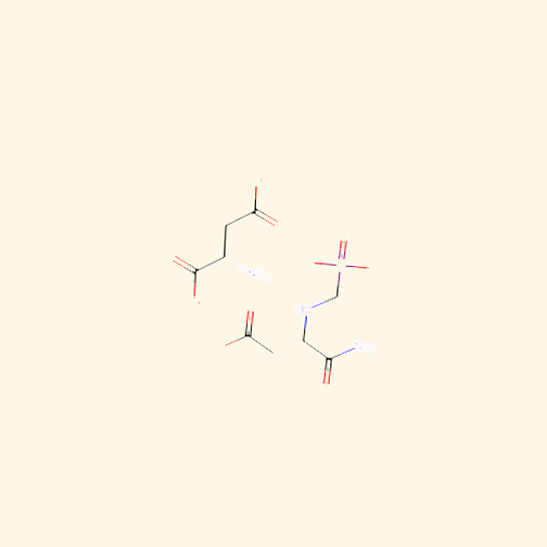 NC(=O)[C@H](CC(=O)O)NCP(=O)(O)O.N[C@@H](CC(=O)O)C(=O)O